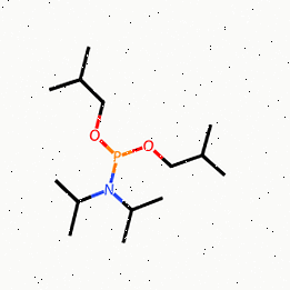 CC(C)COP(OCC(C)C)N(C(C)C)C(C)C